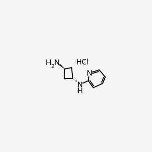 Cl.N[C@H]1C[C@H](Nc2ccccn2)C1